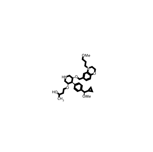 COCCCN1CCOc2ccc(CO[C@H]3CNC[C@@H](OCCC(C)O)[C@@H]3c3ccc([C@H](OC)C4CC4)cc3)cc21